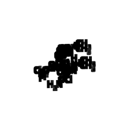 COn1c(=O)c(-c2ccc(N)cc2Cl)cc2cnc(NCCN(C)C)nc21.COn1c(=O)c(-c2ccc(NC(=O)Cc3ccc(Cl)c(C(F)(F)F)c3)cc2Cl)cc2cnc(NCCN(C)C)nc21